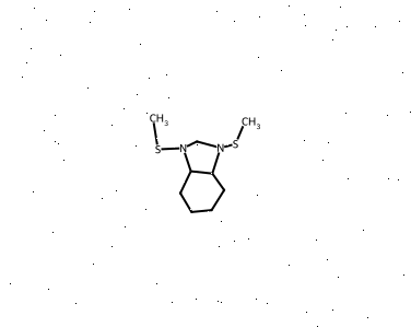 CSN1CN(SC)C2CCCCC21